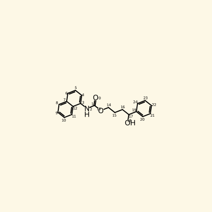 O=C(Nc1cccc2ccccc12)OCCCC(O)c1ccccc1